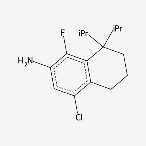 CC(C)C1(C(C)C)CCCc2c(Cl)cc(N)c(F)c21